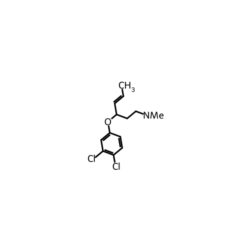 CC=CC(CCNC)Oc1ccc(Cl)c(Cl)c1